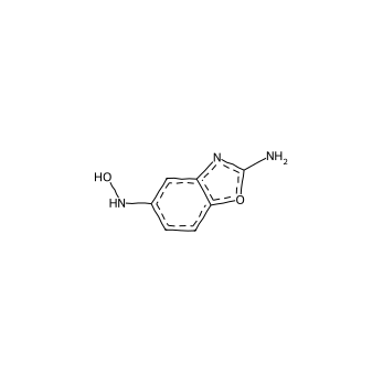 Nc1nc2cc(NO)ccc2o1